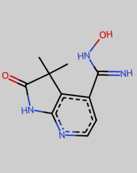 CC1(C)C(=O)Nc2nccc(C(=N)NO)c21